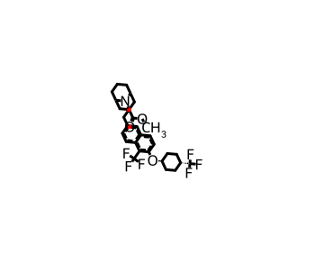 COC(=O)C1CC2CCCC(C1)N2CCc1ccc2c(C(F)(F)F)c(O[C@H]3CC[C@@H](C(F)(F)F)CC3)ccc2c1